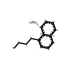 CCCCc1cccc2ccccc12.P